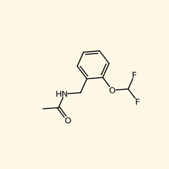 CC(=O)NCc1ccccc1OC(F)F